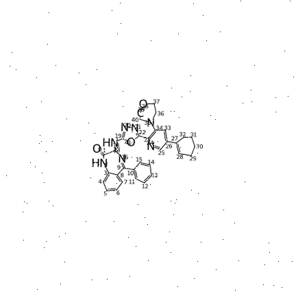 O=C1Nc2ccccc2C(c2ccccc2)=N[C@@H]1Nc1nnc(-c2ncc(C3=CCCCC3)cc2N2CCOCC2)o1